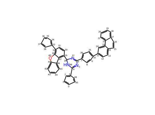 c1ccc(C2=NC(c3ccc(-c4ccc5ccc6ccccc6c5c4)cc3)=NC(c3ccc(-c4ccccc4)c4oc5ccccc5c34)N2)cc1